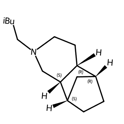 CCC(C)CN1CC[C@@H]2[C@@H]3CC[C@@H](C3)[C@@H]2C1